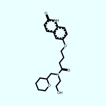 O=C(CCCOc1ccc2[nH]c(=O)ccc2c1)N(CCO)CC1CCCCO1